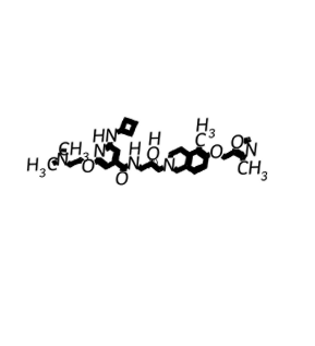 Cc1ncoc1COc1ccc2c(c1C)CCN(C[C@@H](O)CNC(=O)c1cc(NC3CCC3)nc(OCCN(C)C)c1)C2